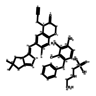 C#CCN1C(=O)COc2cc(F)c(/N=c3\snc4n3CC(C)(C)C4)cc21.Nc1c([N+](=O)[O-])ccc(Oc2ccccc2)c1Cl.O=C(O)CNCP(=O)(O)O